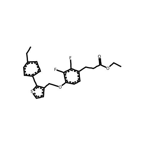 CCOC(=O)CCc1ccc(OCc2ccsc2-c2ccc(CC)cc2)c(F)c1F